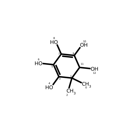 CC1(C)C(O)=C(O)C(O)=C(O)C1O